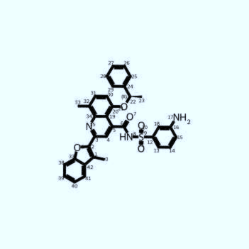 Cc1c(-c2cc(C(=O)NS(=O)(=O)c3cccc(N)c3)c3c(O[C@H](C)c4ccccc4)ccc(C)c3n2)oc2ccccc12